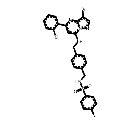 O=S(=O)(NCc1ccc(CNc2cc(-c3ccccc3Cl)nc3c(Br)cnn23)cc1)c1ccc(F)cc1